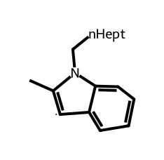 CCCCCCCCn1c(C)[c]c2ccccc21